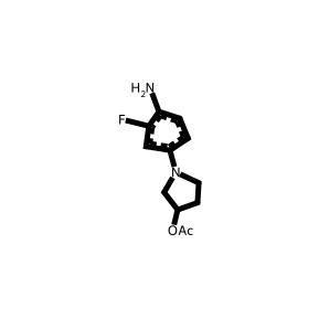 CC(=O)OC1CCN(c2ccc(N)c(F)c2)C1